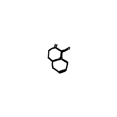 O=C1NCCC2CC=CCN12